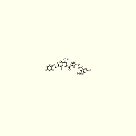 CC(C)(C)OC(=O)[C@H](CNC(=O)c1nnc(CCCC(N=N)(N=N)N=N)s1)NC(=O)OCc1ccccc1